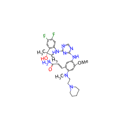 COc1cc(N(C)CCN2CCCCC2)c(C=CC(N)=O)cc1Nc1ncnc(Nc2cc(F)c(F)cc2C(C)(C)O)n1